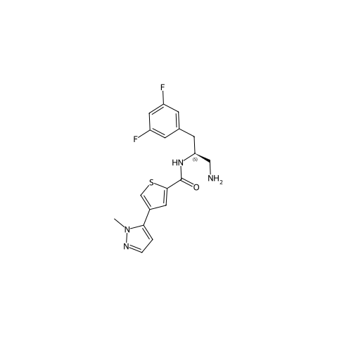 Cn1nccc1-c1csc(C(=O)N[C@H](CN)Cc2cc(F)cc(F)c2)c1